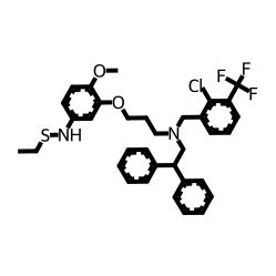 CCSNc1ccc(OC)c(OCCCN(Cc2cccc(C(F)(F)F)c2Cl)CC(c2ccccc2)c2ccccc2)c1